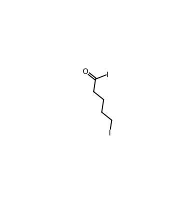 O=C(I)CCCCI